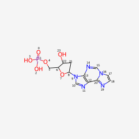 O=P(O)(O)OCC1OC(n2cnc3c2ncn2ccnc32)CC1O